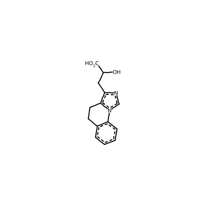 O=C(O)C(O)Cc1ncn2c1CCc1ccccc1-2